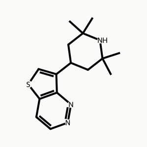 CC1(C)CC(c2csc3ccnnc23)CC(C)(C)N1